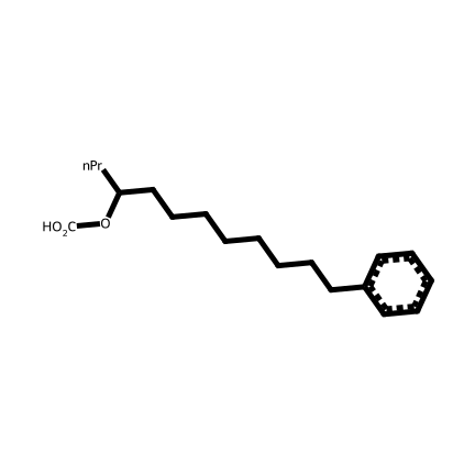 CCCC(CCCCCCCCc1ccccc1)OC(=O)O